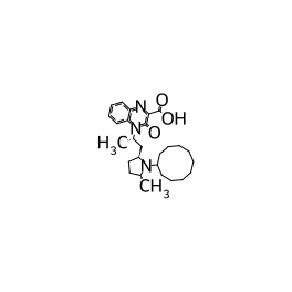 C[C@H]1CC[C@@H](C[C@H](C)n2c(=O)c(C(=O)O)nc3ccccc32)N1C1CCCCCCCCC1